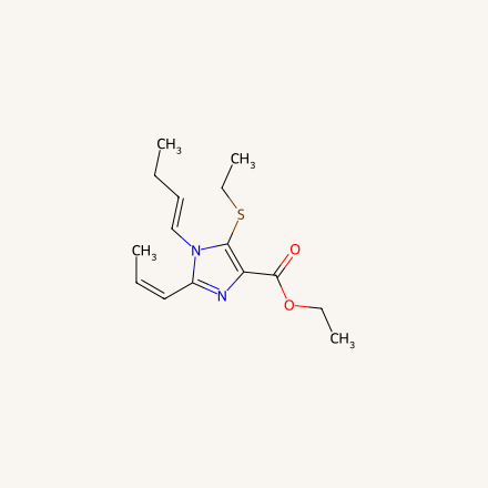 C/C=C\c1nc(C(=O)OCC)c(SCC)n1/C=C/CC